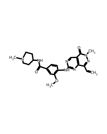 C=Cc1nn(C)c(=O)c2cnc(Nc3ccc(C(=O)NC4CCN(C)CC4)cc3OC)nc12